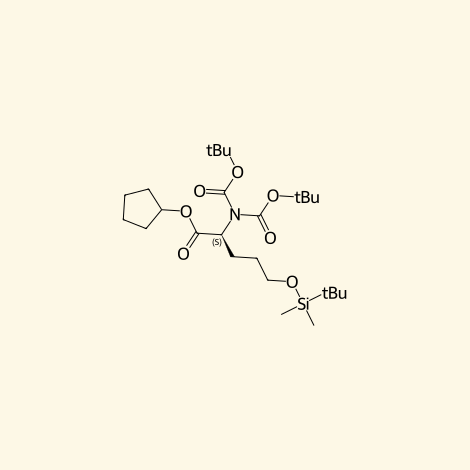 CC(C)(C)OC(=O)N(C(=O)OC(C)(C)C)[C@@H](CCCO[Si](C)(C)C(C)(C)C)C(=O)OC1CCCC1